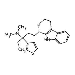 CCC(CCC1OCCc2c1[nH]c1ccccc21)(c1ccsc1)N(C)C